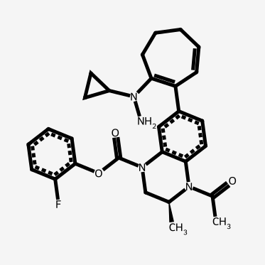 CC(=O)N1c2ccc(C3=C(N(N)C4CC4)CCCC=C3)cc2N(C(=O)Oc2ccccc2F)C[C@@H]1C